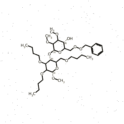 CCCCOCC1O[C@H](OC)C(OCCCC)C(OCCCC)[C@@H]1O[C@@H]1OC(COOCc2ccccc2)[C@@H](O)C(OC)C1OC